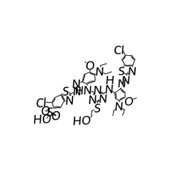 CCN(CC)c1cc(Nc2nc(Nc3cc(N(CC)CC)c(OC)cc3/N=N/c3nc4cc(S(=O)(=O)O)c(Cl)cc4s3)nc(SCCO)n2)c(/N=N/c2nc3ccc(Cl)cc3s2)cc1OC